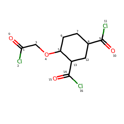 O=C(Cl)COC1CCC(C(=O)Cl)CC1C(=O)Cl